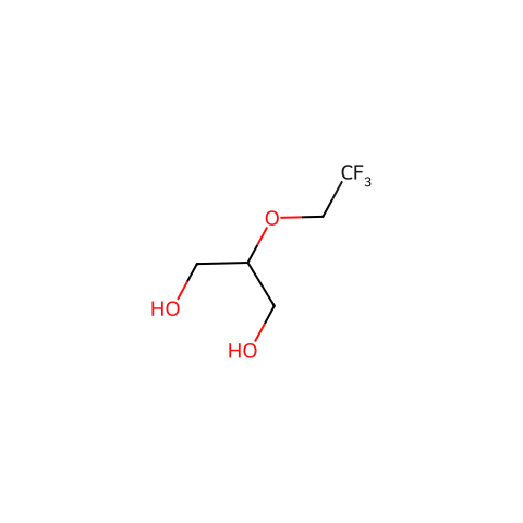 OCC(CO)OCC(F)(F)F